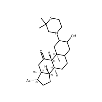 CC(=O)[C@H]1CC[C@H]2[C@@H]3CCC4CC(O)C(N5CCSC(C)(C)C5)C[C@]4(C)[C@H]3C(=O)C[C@]12C